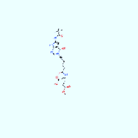 COC(=O)CC[C@@H](NC(=O)CCCC#CN1C=Nc2[nH]c(NC(=O)C(C)(C)C)cc2C1O)C(=O)OC